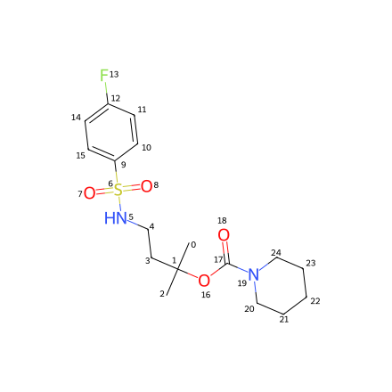 CC(C)(CCNS(=O)(=O)c1ccc(F)cc1)OC(=O)N1CCCCC1